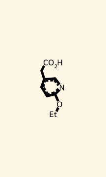 CCOc1ccc(CC(=O)O)cn1